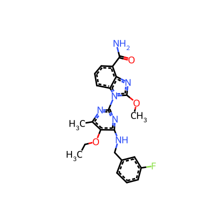 CCOc1c(C)nc(-n2c(OC)nc3c(C(N)=O)cccc32)nc1NCc1cccc(F)c1